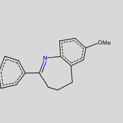 COc1ccc2c(c1)CCCC(c1ccccc1)=N2